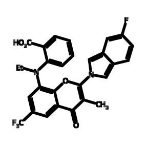 CCN(c1ccccc1C(=O)O)c1cc(C(F)(F)F)cc2c(=O)c(C)c(-n3cc4ccc(F)cc4c3)oc12